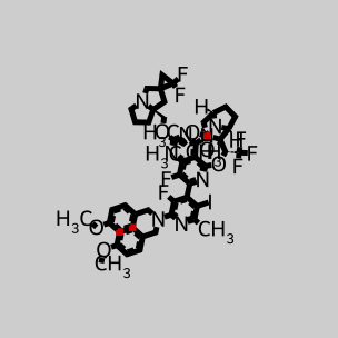 COc1ccc(CN(Cc2ccc(OC)cc2)c2nc(C)c(I)c(-c3nc4c5c(nc(OC[C@@]67CCCN6CC6(CC6(F)F)C7)nc5c3F)N3C[C@H]5CC[C@@H]([C@H]3[C@H](C(F)(F)F)O4)N5C(=O)OC(C)(C)C)c2F)cc1